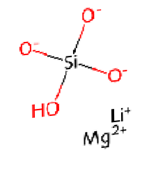 [Li+].[Mg+2].[O-][Si]([O-])([O-])O